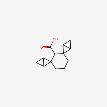 O=C(O)C1C2(CCCC13C1CC13)C1CC12